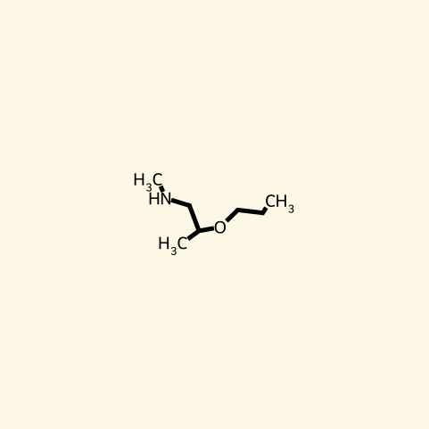 CCCOC(C)CNC